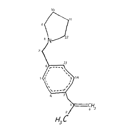 C=C(C)c1ccc(CN2CCCC2)cc1